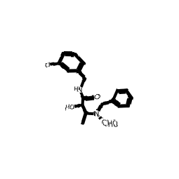 CC(C(O)C(=O)NCc1cccc(Cl)c1)N(C=O)Cc1ccccc1